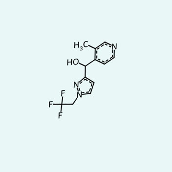 Cc1cnccc1C(O)c1ccn(CC(F)(F)F)n1